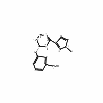 CCCCN[C@@H](Cc1cccc(OC)c1)NC(=O)c1ccn(C)n1